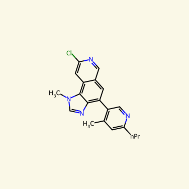 CCCc1cc(C)c(-c2cc3cnc(Cl)cc3c3c2ncn3C)cn1